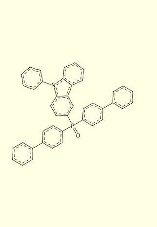 O=P(c1ccc(-c2ccccc2)cc1)(c1ccc(-c2ccccc2)cc1)c1ccc2c(c1)c1ccccc1n2-c1ccccc1